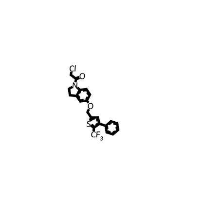 O=C(CCl)N1CCc2cc(OCc3cc(-c4ccccc4)c(C(F)(F)F)s3)ccc21